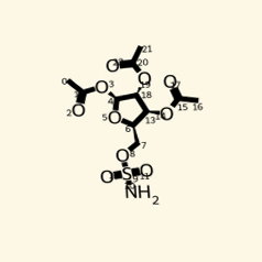 CC(=O)O[C@@H]1O[C@H](COS(N)(=O)=O)[C@H](OC(C)=O)[C@H]1OC(C)=O